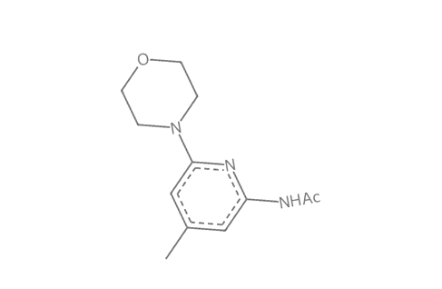 CC(=O)Nc1cc(C)cc(N2CCOCC2)n1